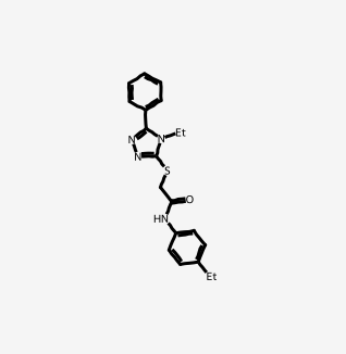 CCc1ccc(NC(=O)CSc2nnc(-c3ccccc3)n2CC)cc1